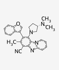 Cc1c(-c2coc3ccccc23)c(N2CC[C@H](N(C)C)C2)c2c(nc3ccccn32)c1C#N